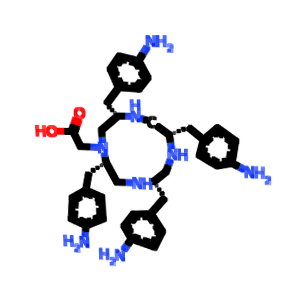 Nc1ccc(C[C@H]2CN[C@@H](Cc3ccc(N)cc3)CN(CC(=O)O)[C@@H](Cc3ccc(N)cc3)CN[C@@H](Cc3ccc(N)cc3)CN2)cc1